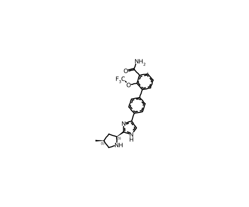 C[C@@H]1CN[C@H](c2nc(-c3ccc(-c4cc[c]c(C(N)=O)c4OC(F)(F)F)cc3)c[nH]2)C1